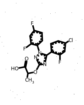 CC(Oc1nc(-c2ccc(Cl)cc2F)n(-c2ccc(F)cc2F)n1)C(=O)O